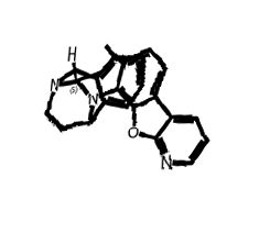 Cc1ccc2c(oc3ncccc32)c1N1C2CCN(Cc3ccccc32)[C@@H]1C